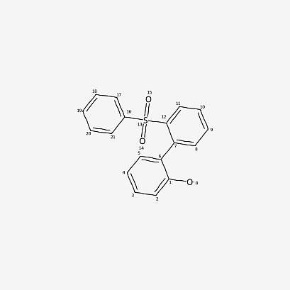 [O]c1ccccc1-c1ccccc1S(=O)(=O)c1ccccc1